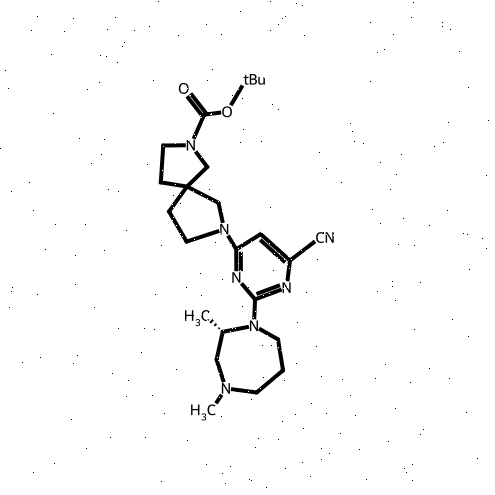 C[C@H]1CN(C)CCCN1c1nc(C#N)cc(N2CCC3(CCN(C(=O)OC(C)(C)C)C3)C2)n1